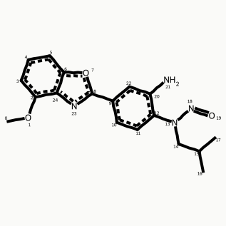 COc1cccc2oc(-c3ccc(N(CC(C)C)N=O)c(N)c3)nc12